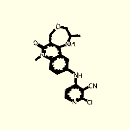 CC1COCc2c(c3cc(Nc4ccnc(Cl)c4C#N)ccc3n(C)c2=O)N1